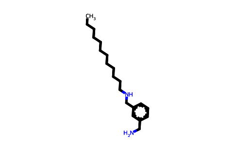 CCCCCCCCCCCCNCc1cccc(CN)c1